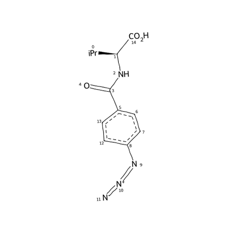 CC(C)[C@H](NC(=O)c1ccc(N=[N+]=[N-])cc1)C(=O)O